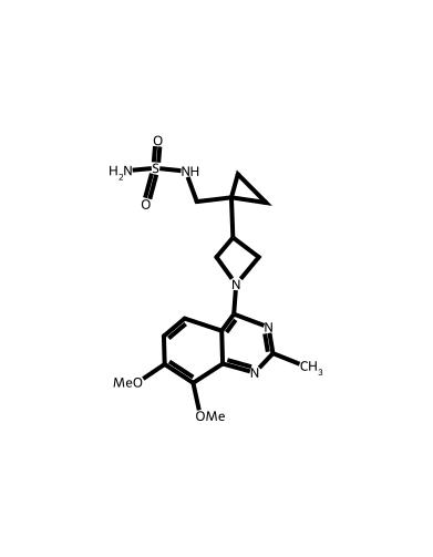 COc1ccc2c(N3CC(C4(CNS(N)(=O)=O)CC4)C3)nc(C)nc2c1OC